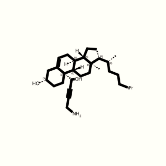 CC(C)CCC[C@@H](C)[C@H]1CC[C@H]2[C@@H]3CC=C4C[C@@H](O)CC[C@]4(C(O)C#CCN)[C@H]3CC[C@]12C